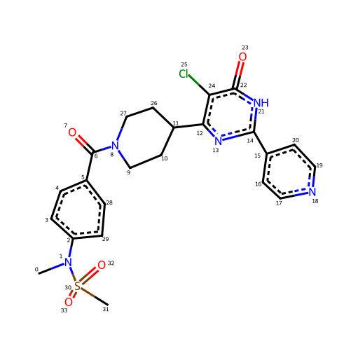 CN(c1ccc(C(=O)N2CCC(c3nc(-c4ccncc4)[nH]c(=O)c3Cl)CC2)cc1)S(C)(=O)=O